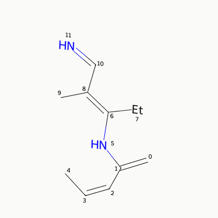 C=C(/C=C\C)N/C(CC)=C(\C)C=N